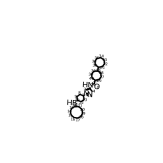 O=C(Nc1cnn(C2CCC(BC3CCCCCCCCC3)CC2)c1)C1CCCC(C2CCCCCCC2)CCC1